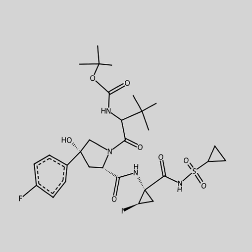 CC(C)(C)OC(=O)NC(C(=O)N1C[C@](O)(c2ccc(F)cc2)C[C@H]1C(=O)N[C@]1(C(=O)NS(=O)(=O)C2CC2)C[C@H]1I)C(C)(C)C